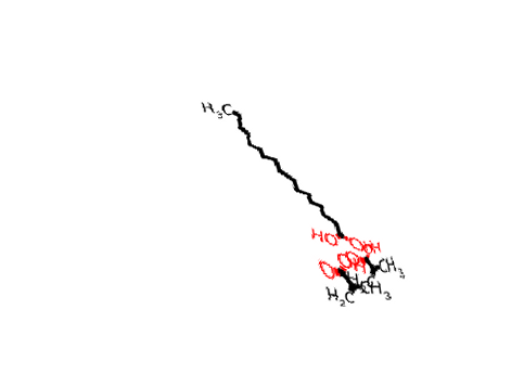 C=C(C)C(=O)O.C=C(C)C(=O)O.CCCCCCCCCCCCCCCCC(O)O